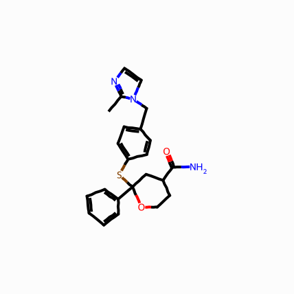 Cc1nccn1Cc1ccc(SC2(c3ccccc3)CC(C(N)=O)CCO2)cc1